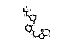 C=CC(=O)Nc1cccc(Oc2nccc3sc(Nc4ccc5c(c4)NCCCO5)cc23)c1